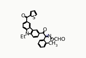 CCn1c2ccc(C(=O)/C(=N/OC=O)c3ccccc3C)cc2c2cc(C(=O)c3cccs3)ccc21